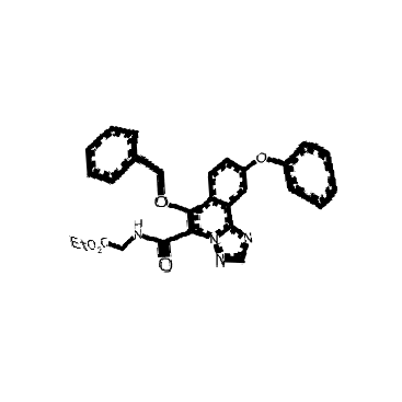 CCOC(=O)CNC(=O)c1c(OCc2ccccc2)c2ccc(Oc3ccccc3)cc2c2ncnn12